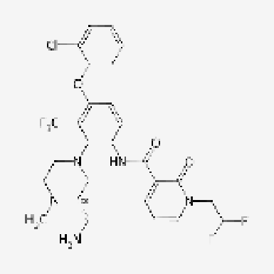 CN1CCN(c2c(NC(=O)c3cccn(CC(F)F)c3=O)ccc(Oc3ccccc3Cl)c2C(F)(F)F)C[C@@H]1CN